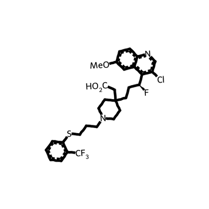 COc1ccc2ncc(Cl)c([C@@H](F)CCC3(CC(=O)O)CCN(CCCSc4ccccc4C(F)(F)F)CC3)c2c1